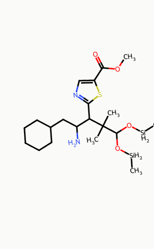 COC(=O)c1cnc(C(C(N)CC2CCCCC2)C(C)(C)C(O[SiH2]C)O[SiH2]C)s1